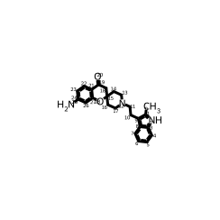 Cc1[nH]c2ccccc2c1CCN1CCC2(CC1)CC(=O)c1ccc(N)cc1O2